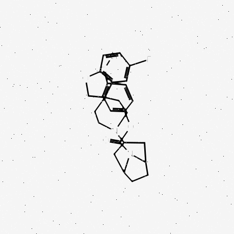 COc1ccc(OC(=O)N2C3CCC2CC(N2CCC4(CC2)COc2ccc(F)cc24)C3)cc1